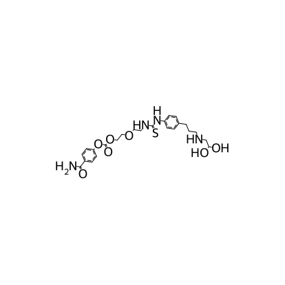 NC(=O)c1ccc(OC(=O)OCCOCCNC(=S)Nc2ccc(CCCNCC(O)O)cc2)cc1